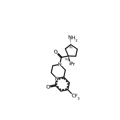 CC(C)[C@]1(C(=O)N2CCn3c(cc(C(F)(F)F)cc3=O)C2)CC[C@@H](N)C1